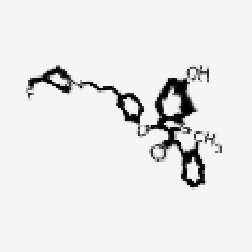 Cc1ccccc1C(=O)c1sc2cc(O)ccc2c1Oc1ccc(CCCN2CC(CF)C2)cc1